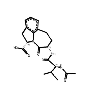 CC(=O)N[C@H](C(=O)N[C@H]1CCc2cccc3c2N(C1=O)[C@H](C(=O)O)C3)C(C)C